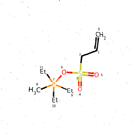 C=CCS(=O)(=O)OP(C)(CC)(CC)CC